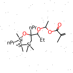 C=C(C)C(=O)OC(C)OC(CC)C1(CCC)C[Si](C)(C)[Si](C)(C)[Si](C)(CCC)O1